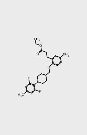 CCOC(=O)CCc1cc(P)ccc1OCC1CCN(c2c(F)cc(C)cc2F)CC1